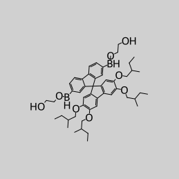 CCC(C)COc1cc2c(cc1OCC(C)CC)C1(c3cc(BOCCO)ccc3-c3ccc(BOCCO)cc31)c1cc(OCC(C)CC)c(OCC(C)CC)cc1-2